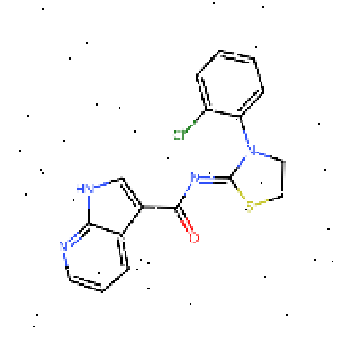 O=C(/N=C1\SCCN1c1ccccc1Cl)c1c[nH]c2ncccc12